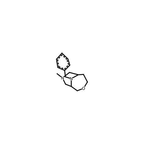 CN1CC2CCOCC(C1)N2Cc1ccccc1